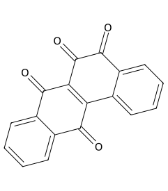 O=c1c2c(=O)c3ccccc3c(=O)c=2c2ccccc2c1=O